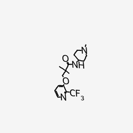 CN1CCC(NC(=O)C(C)(C)COc2cccnc2C(F)(F)F)CC1